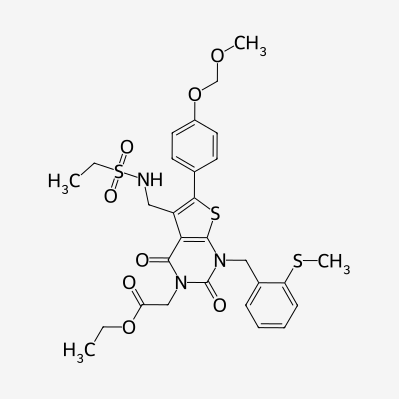 CCOC(=O)Cn1c(=O)c2c(CNS(=O)(=O)CC)c(-c3ccc(OCOC)cc3)sc2n(Cc2ccccc2SC)c1=O